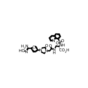 NC(=NO)c1ccc(N2CCN(CC(=O)NC[C@H](NS(=O)(=O)c3cccc4cccnc34)C(=O)O)C(=O)C2)cc1